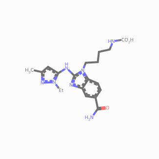 CCn1nc(C)cc1Nc1nc2cc(C(N)=O)ccc2n1CCCCNC(=O)O